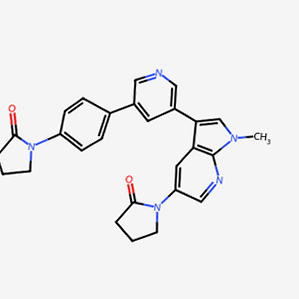 Cn1cc(-c2cncc(-c3ccc(N4CCCC4=O)cc3)c2)c2cc(N3CCCC3=O)cnc21